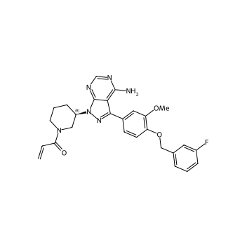 C=CC(=O)N1CCC[C@@H](n2nc(-c3ccc(OCc4cccc(F)c4)c(OC)c3)c3c(N)ncnc32)C1